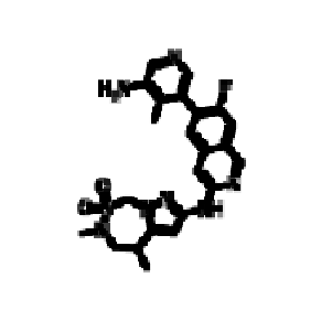 Cc1c(N)cncc1-c1cc2cc(Nc3cc4n(n3)CS(=O)(=O)N(C)CC4C)ncc2cc1F